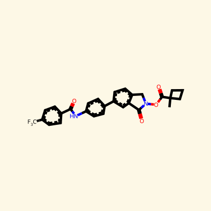 CC1(C(=O)ON2Cc3ccc(-c4ccc(NC(=O)c5ccc(C(F)(F)F)cc5)cc4)cc3C2=O)CCC1